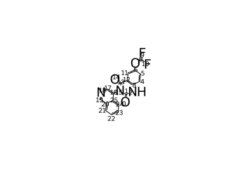 O=c1[nH]c2ccc(OC(F)F)cc2c(=O)n1-c1cncc2ccccc12